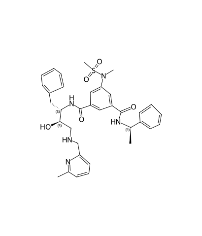 Cc1cccc(CNC[C@@H](O)[C@H](Cc2ccccc2)NC(=O)c2cc(C(=O)N[C@H](C)c3ccccc3)cc(N(C)S(C)(=O)=O)c2)n1